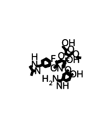 CCOC1OC(CO)C(Oc2c(F)c(Oc3cccc(C4=NC(C)CN4)c3)nc(Oc3cc(C(=N)N)ccc3O)c2F)C1O